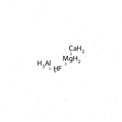 F.[AlH3].[CaH2].[MgH2]